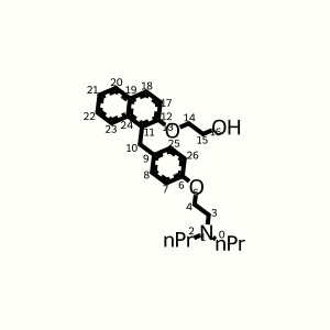 CCCN(CCC)CCOc1ccc(Cc2c(OCCO)ccc3ccccc23)cc1